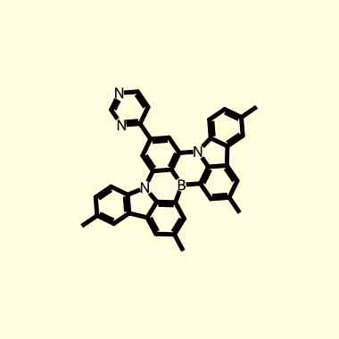 Cc1ccc2c(c1)c1cc(C)cc3c1n2-c1cc(-c2ccncn2)cc2c1B3c1cc(C)cc3c4cc(C)ccc4n-2c13